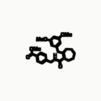 COC(=O)c1ccc(CNC(=O)C2=C(Cc3cc(OC)cc(OC)c3)CCCCC2)cc1